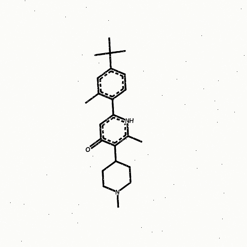 Cc1cc(C(C)(C)C)ccc1-c1cc(=O)c(C2CCN(C)CC2)c(C)[nH]1